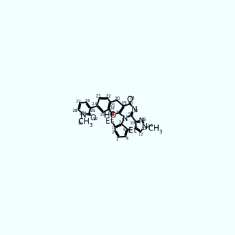 CCc1cccc(CC)c1-n1c(-c2ccn(C)n2)nc(=O)c(Cc2ccc(-c3cccn(C)c3=O)cc2F)c1O